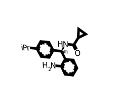 CC(C)c1ccc([C@@H](NC(=O)C2CC2)c2ccccc2N)cc1